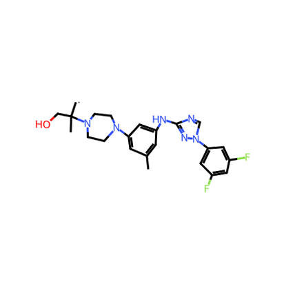 [CH2]C(C)(CO)N1CCN(c2cc(C)cc(Nc3ncn(-c4cc(F)cc(F)c4)n3)c2)CC1